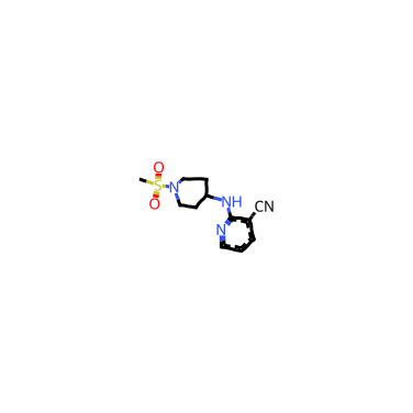 CS(=O)(=O)N1CCC(Nc2ncccc2C#N)CC1